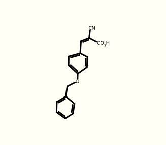 N#CC(=Cc1ccc(OCc2ccccc2)cc1)C(=O)O